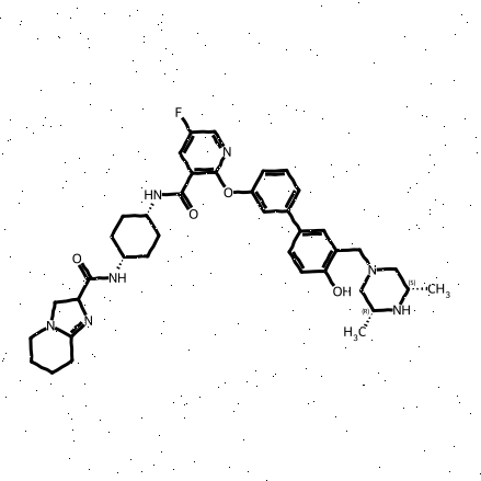 C[C@@H]1CN(Cc2cc(-c3cccc(Oc4ncc(F)cc4C(=O)N[C@H]4CC[C@@H](NC(=O)C5CN6CCCCC6=N5)CC4)c3)ccc2O)C[C@H](C)N1